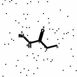 CCC(=O)[NH][Nd]